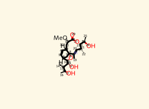 CO[C@H]1C[C@H]2C=C[C@@H]3C[C@]2(O[C@H]3[C@H](O)[C@H](C)[C@H](C)O)/C(C)=C/[C@@H](C)[C@@H]([C@@H](C)O)OC1=O